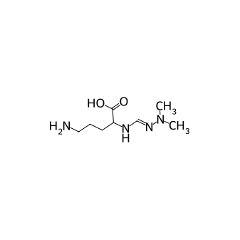 CN(C)N=CNC(CCCN)C(=O)O